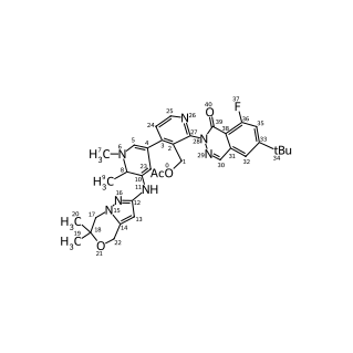 CC(=O)OCc1c(C2=CN(C)C(C)C(Nc3cc4n(n3)CC(C)(C)OC4)=C2)ccnc1-n1ncc2cc(C(C)(C)C)cc(F)c2c1=O